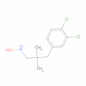 CC(C)(CNO)Cc1ccc(Cl)c(Cl)c1